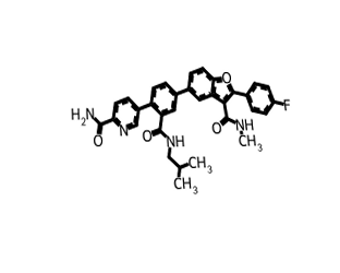 CNC(=O)c1c(-c2ccc(F)cc2)oc2ccc(-c3ccc(-c4ccc(C(N)=O)nc4)c(C(=O)NCC(C)C)c3)cc12